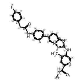 CCNC(=O)c1cc(C)c(Nc2nc3ccc(-c4ccc(NC(=O)Cc5ccc(F)cc5)cc4)cn3n2)cn1